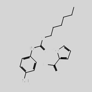 CCCCCCOC(=O)Nc1ccc(N)cc1.O=C(O)c1ccco1